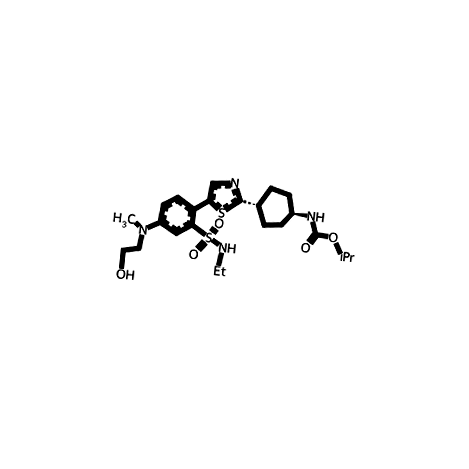 CCNS(=O)(=O)c1cc(N(C)CCO)ccc1-c1cnc([C@H]2CC[C@H](NC(=O)OC(C)C)CC2)s1